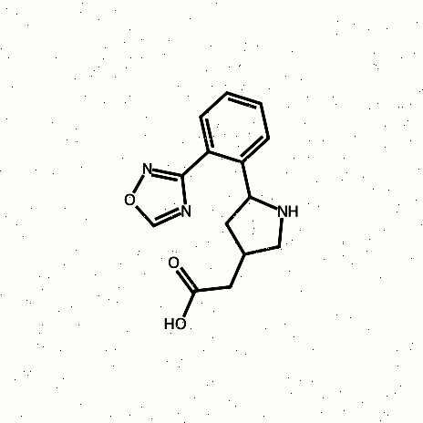 O=C(O)CC1CNC(c2ccccc2-c2ncon2)C1